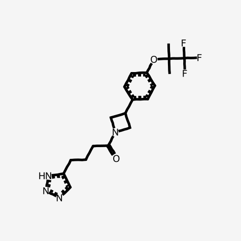 CC(C)(Oc1ccc(C2CN(C(=O)CCCc3cnn[nH]3)C2)cc1)C(F)(F)F